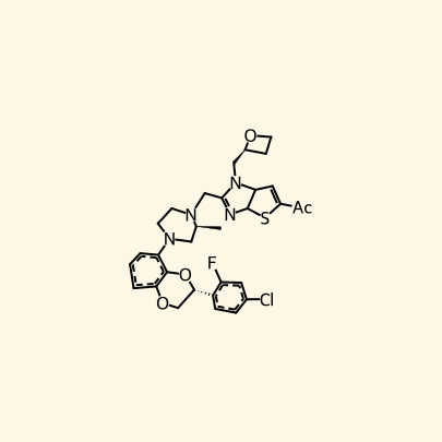 CC(=O)C1=CC2C(N=C(CN3CCN(c4cccc5c4O[C@H](c4ccc(Cl)cc4F)CO5)C[C@@H]3C)N2C[C@@H]2CCO2)S1